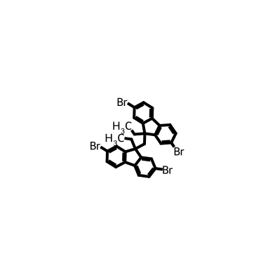 CCC1(CC2(CC)c3cc(Br)ccc3-c3ccc(Br)cc32)c2cc(Br)ccc2-c2ccc(Br)cc21